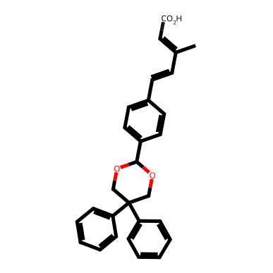 CC(C=Cc1ccc(C2OCC(c3ccccc3)(c3ccccc3)CO2)cc1)=CC(=O)O